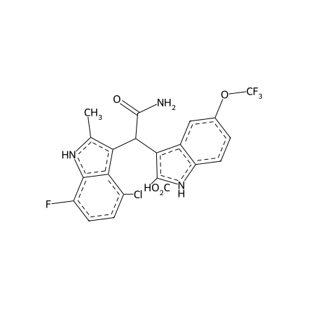 Cc1[nH]c2c(F)ccc(Cl)c2c1C(C(N)=O)c1c(C(=O)O)[nH]c2ccc(OC(F)(F)F)cc12